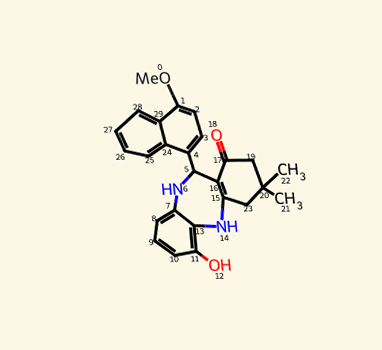 COc1ccc(C2Nc3cccc(O)c3NC3=C2C(=O)CC(C)(C)C3)c2ccccc12